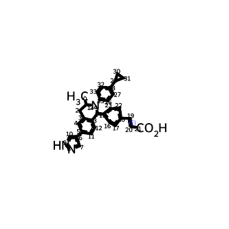 CC1Cc2cc(-c3cn[nH]c3)ccc2C(c2ccc(/C=C/C(=O)O)cc2)N1c1ccc(C2CC2)cc1